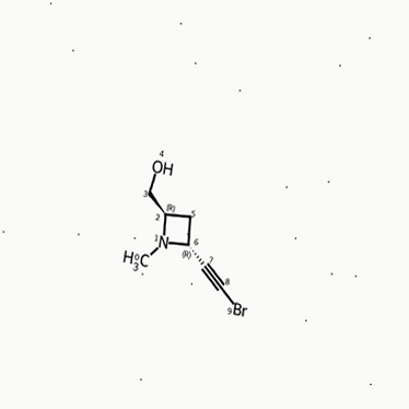 CN1[C@@H](CO)C[C@@H]1C#CBr